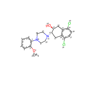 COc1ccccc1N1CCN([C@H]2Cc3c(Cl)ccc(Cl)c3C[C@@H]2O)CC1